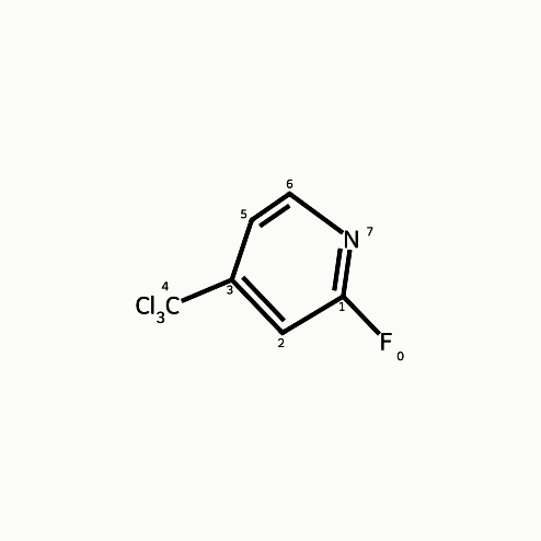 Fc1cc(C(Cl)(Cl)Cl)ccn1